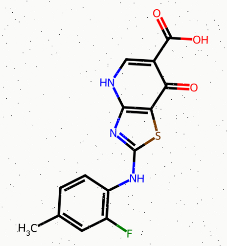 Cc1ccc(Nc2nc3[nH]cc(C(=O)O)c(=O)c3s2)c(F)c1